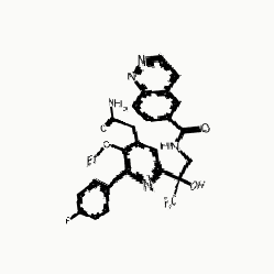 CCOc1c(CC(N)=O)cc([C@@](O)(CNC(=O)c2ccc3nnccc3c2)C(F)(F)F)nc1-c1ccc(F)cc1